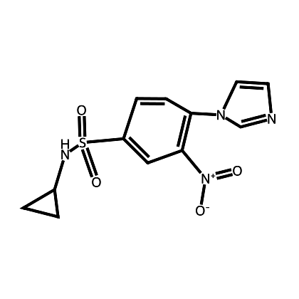 O=[N+]([O-])c1cc(S(=O)(=O)NC2CC2)ccc1-n1ccnc1